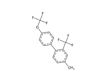 Cc1ccc(-c2ccc(OC(F)(F)F)cc2)c(C(F)(F)F)c1